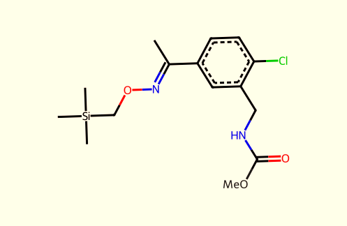 COC(=O)NCc1cc(C(C)=NOC[Si](C)(C)C)ccc1Cl